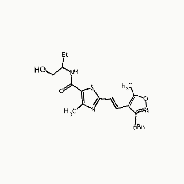 CCCCc1noc(C)c1/C=C/c1nc(C)c(C(=O)NC(CC)CO)s1